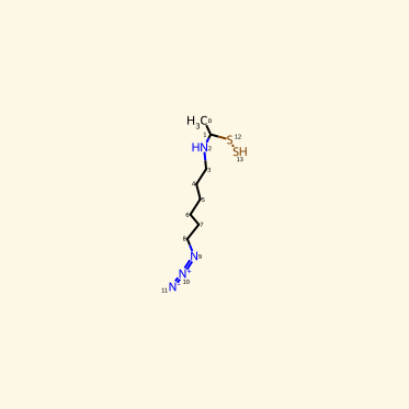 CC(NCCCCCCN=[N+]=[N-])SS